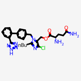 CCCCc1nc(Cl)c(COC(=O)[C@@H](N)CCC(N)=O)n1Cc1ccc(-c2ccccc2-c2nn[nH]n2)cc1